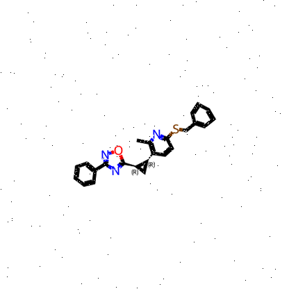 Cc1nc(SCc2ccccc2)ccc1[C@@H]1C[C@H]1c1nc(-c2ccccc2)no1